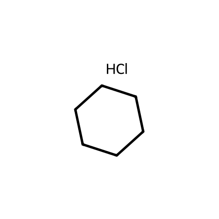 C1CCCCC1.Cl